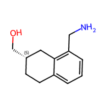 NCc1cccc2c1C[C@@H](CO)CC2